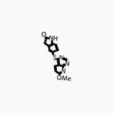 COc1ccc2c(Sc3ccc4c(c3)CC(=O)N4)ncnc2n1